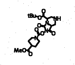 COC(=O)C1CCN(C(=O)ON2C(=O)C3CNCC(C(=O)OC(C)(C)C)N3C2=O)CC1